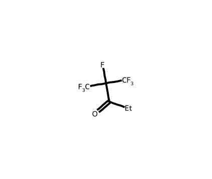 CCC(=O)C(F)(C(F)(F)F)C(F)(F)F